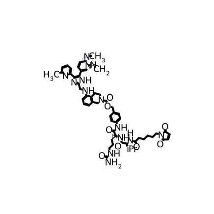 C=Nn1cc(-c2[nH]c(CNc3cccc4c3CCN(C(=O)OCc3ccc(NC(=O)[C@H](CCCNC(N)=O)NC(=O)C(NC(=O)CCCCCN5C(=O)C=CC5=O)C(C)C)cc3)C4)nc2-c2cccc(C)n2)cc/c1=N/C